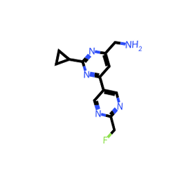 NCc1cc(-c2cnc(CF)nc2)nc(C2CC2)n1